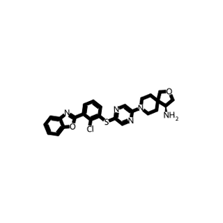 N[C@@H]1COCC12CCN(c1cnc(Sc3cccc(-c4nc5ccccc5o4)c3Cl)cn1)CC2